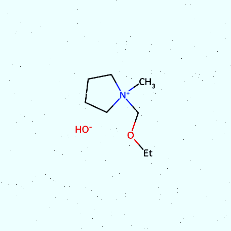 CCOC[N+]1(C)CCCC1.[OH-]